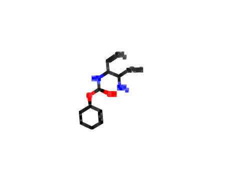 C=CC(N[C@@H](O)O[C@H]1C=CCCC1)C(N)CCCCC